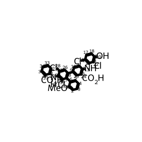 COc1ccccc1-c1c(-c2ccc(Nc3c(Cl)ccc(O)c3Cl)c(C(=O)O)c2)cc(Cl)c(Nc2ccccc2C(=O)O)c1Cl